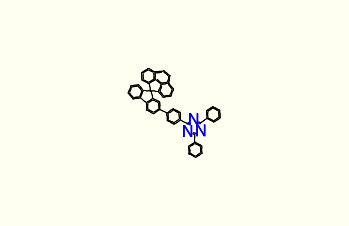 c1ccc(-c2nc(-c3ccccc3)nc(-c3ccc(-c4ccc5c(c4)C4(c6ccccc6-5)c5cccc6ccc7cccc4c7c56)cc3)n2)cc1